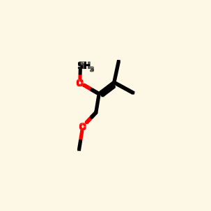 COCC(O[SiH3])=C(C)C